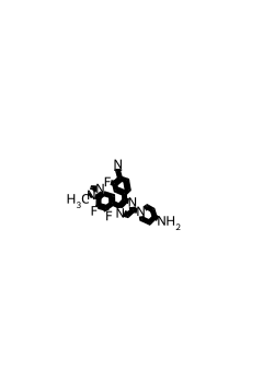 Cn1cnc2cc(-c3ncc(N4CCC(N)CC4)nc3-c3ccc(C#N)c(F)c3)c(F)c(F)c21